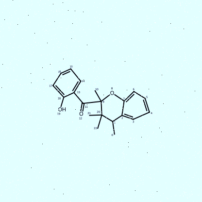 CC1c2ccccc2OC(C)(C(=O)c2ccccc2O)C1(C)C